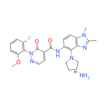 COc1cccc(F)c1-n1nccc(C(=O)Nc2ccc3c(nc(C)n3C)c2N2CC[C@@H](N)C2)c1=O